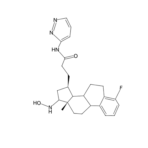 C[C@]12CCC3c4cccc(F)c4CCC3C1[C@H](CCC(=O)Nc1cccnn1)CC2NO